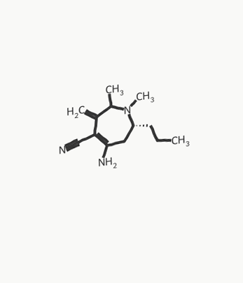 C=C1C(C#N)=C(N)C[C@@H](CCC)N(C)C1C